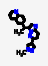 CC(c1ccc2ncccc2c1)c1cnc2ccc(-c3cnn(C)c3)nn12